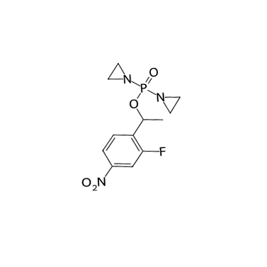 CC(OP(=O)(N1CC1)N1CC1)c1ccc([N+](=O)[O-])cc1F